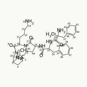 CCN1C2CC1CN(C(=O)C(CCCCN)N1C(=O)C(NC(=O)C(Cc3ccccc3)NC(=O)C(C)(N)Cc3ccccc3)CC1C)C2